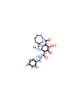 C[C@]12CCCCN(C1)C(=O)c1c(O)c(=O)c(C(=O)NCc3ccc(F)cc3F)cn12